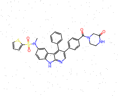 CN(c1ccc2[nH]c3ncc(-c4ccc(C(=O)N5CCNC(=O)C5)cc4)c(-c4ccccc4)c3c2c1)S(=O)(=O)c1cccs1